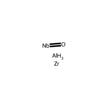 [AlH3].[O]=[Nb].[Zr]